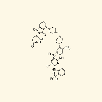 Cc1cc(Nc2ncc(Cl)c(Nc3ccccc3S(=O)(=O)C(C)C)n2)c(OC(C)C)cc1C1CCN(CC2CCN(c3cccc4c3C(=O)N(N3CCC(=O)NC3=O)C4=O)CC2)CC1